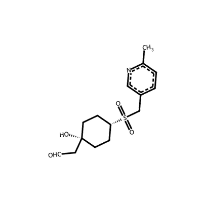 Cc1ccc(CS(=O)(=O)[C@H]2CC[C@](O)(CC=O)CC2)cn1